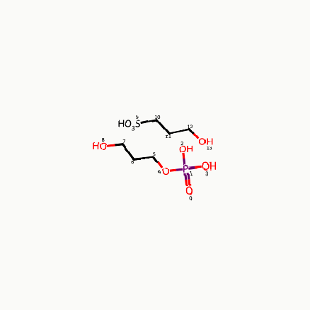 O=P(O)(O)OCCCO.O=S(=O)(O)CCCO